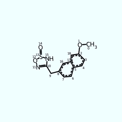 COc1ccc2ccc(CC3=NOS(=O)N3)cc2c1